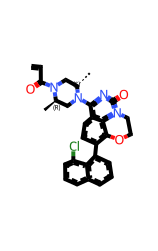 C=CC(=O)N1C[C@H](C)N(c2nc(=O)n3c4c(c(-c5cccc6cccc(Cl)c56)ccc24)OCC3)C[C@H]1C